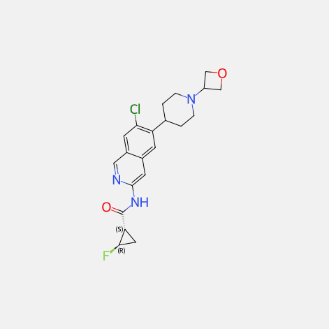 O=C(Nc1cc2cc(C3CCN(C4COC4)CC3)c(Cl)cc2cn1)[C@@H]1C[C@H]1F